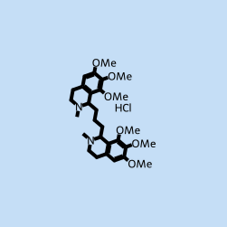 COc1cc2c(c(OC)c1OC)C(CCCC1c3c(cc(OC)c(OC)c3OC)CCN1C)N(C)CC2.Cl